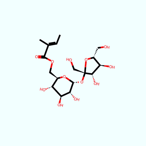 CC=C(C)C(=O)OC[C@H]1O[C@H](O[C@]2(CO)O[C@H](CO)[C@@H](O)[C@@H]2O)[C@H](O)[C@@H](O)[C@@H]1O